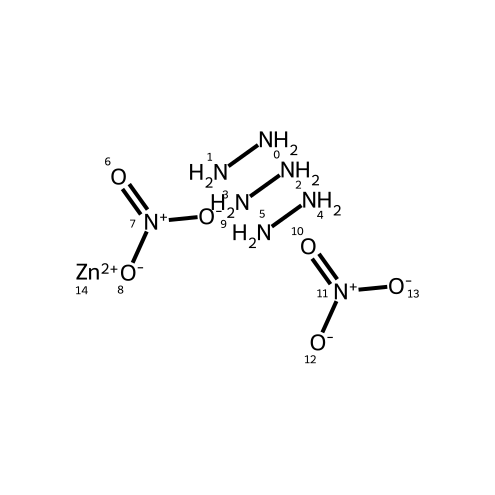 NN.NN.NN.O=[N+]([O-])[O-].O=[N+]([O-])[O-].[Zn+2]